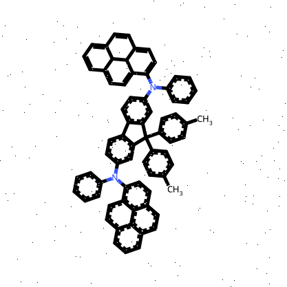 Cc1ccc(C2(c3ccc(C)cc3)c3cc(N(C4=CC=C5C=CC6=CC=CC7=CC=C4C5C67)c4ccccc4)ccc3-c3ccc(N(c4ccccc4)c4ccc5ccc6cccc7ccc4c5c67)cc32)cc1